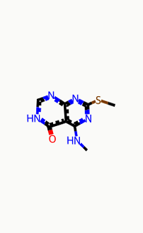 CNc1nc(SC)nc2nc[nH]c(=O)c12